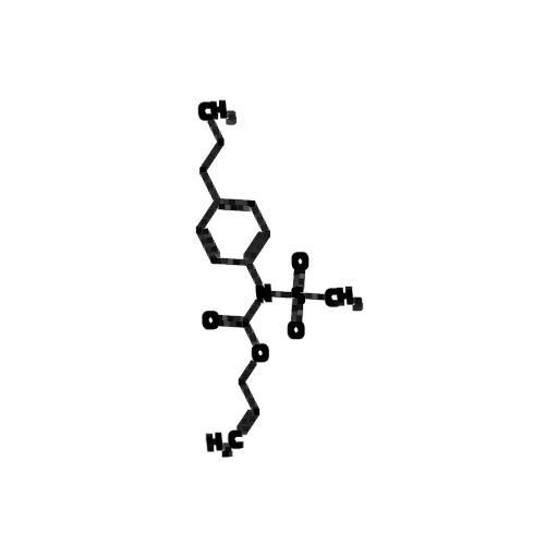 C=CCOC(=O)N(c1ccc(CCC)cc1)S(C)(=O)=O